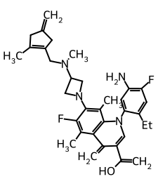 C=C1CC(C)=C(CN(C)C2CN(c3c(C)c4c(c(C)c3F)C(=C)C(C(=C)O)=CN4c3cc(N)c(F)cc3CC)C2)C1